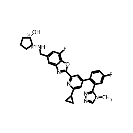 Cn1cnnc1-c1cc(F)ccc1-c1cc(-c2nc3cc(CN[C@@H]4CCC[C@@H]4O)cc(F)c3o2)nc(C2CC2)c1